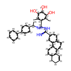 Cc1c(O)c(O)c(O)c(C)c1C(NC(=N)c1ccc2ccc3c4c(ccc3c2c1)CCC=C4)NC(C)c1ccc(-c2ccccc2)cc1